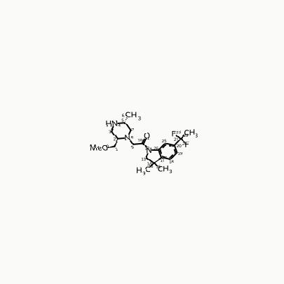 COC[C@H]1CN[C@H](C)CN1CC(=O)N1CC(C)(C)c2ccc(C(C)(F)F)cc21